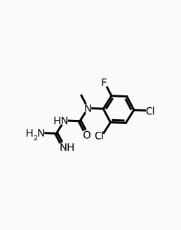 CN(C(=O)NC(=N)N)c1c(F)cc(Cl)cc1Cl